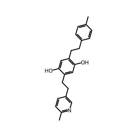 Cc1ccc(CCc2cc(O)c(CCc3ccc(C)nc3)cc2O)cc1